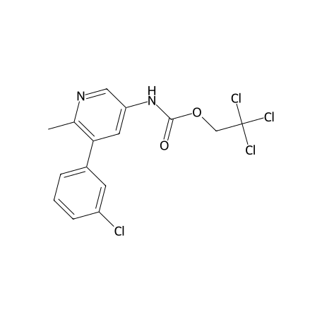 Cc1ncc(NC(=O)OCC(Cl)(Cl)Cl)cc1-c1cccc(Cl)c1